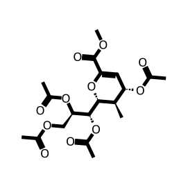 COC(=O)C1=C[C@H](OC(C)=O)[C@@H](C)[C@H]([C@H](OC(C)=O)[C@@H](COC(C)=O)OC(C)=O)O1